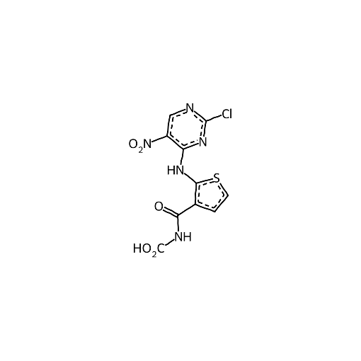 O=C(O)NC(=O)c1ccsc1Nc1nc(Cl)ncc1[N+](=O)[O-]